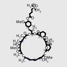 CO[C@H]1C[C@@H]2CC[C@@H](C)[C@@](O)(O2)C(=O)C(=O)N2CCCC[C@H]2C(=O)O[C@H]([C@@H](C)C[C@@H]2CC[C@@H](OC(=O)CCC[SH](C)(C)=O)[C@H](OC)C2)CC(=O)[C@H](C)/C=C(\C)[C@@H](O)[C@@H](OC)C(=O)[C@H](C)C[C@H](C)/C=C/C=C/C=C/1C